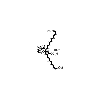 CCCCCCCC/C=C\CCCCCCCCN(C(=O)C[N+](C)(C)C)[C@](CCCCCCCC/C=C\CCCCCCCC)(CCC(=O)O)C(=O)O.Cl